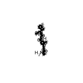 COCC/C(=N\NC(=O)CNC(=O)c1ccc(OCCOC(=O)[C@@H](N)C(C)C)c(OC)c1)c1csc2c(F)cccc12